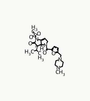 CC(C)[C@H]1C(=O)N(S(C)(=O)=O)C2=CCN(C(=O)c3ccc(CN4CCN(C)CC4)o3)[C@@H]21